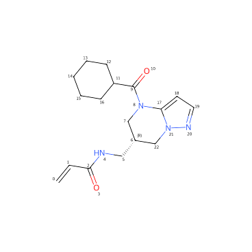 C=CC(=O)NC[C@@H]1CN(C(=O)C2CCCCC2)c2ccnn2C1